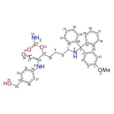 COc1ccc(C(NCCCCC(OC(N)=O)C(=C=O)Nc2ccc(CO)cc2)(c2ccccc2)c2ccccc2)cc1